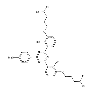 CCC(CC)CCCOc1cccc(-c2nc(-c3ccc(OC)cc3)nc(-c3cccc(OCCCC(CC)CC)c3O)n2)c1O